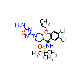 C=CCOc1cc(Cl)c(Cl)cc1[C@H](N[S+]([O-])C(C)(C)C)C1CCN(c2noc(N)n2)CC1